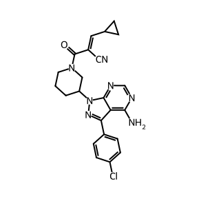 N#C/C(=C\C1CC1)C(=O)N1CCCC(n2nc(-c3ccc(Cl)cc3)c3c(N)ncnc32)C1